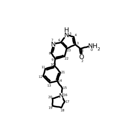 NC(=O)c1c[nH]c2ncc(-c3cccc(CN4CCCC4)c3)cc12